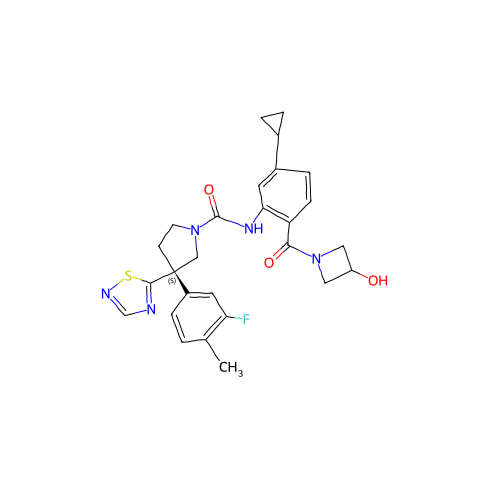 Cc1ccc([C@@]2(c3ncns3)CCN(C(=O)Nc3cc(C4CC4)ccc3C(=O)N3CC(O)C3)C2)cc1F